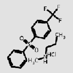 CCCNC.Cl.O=S(=O)(c1ccccc1)c1ccc(C(F)(F)F)cc1